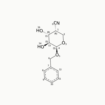 N#C[C@@H]1CO[C@@H](OCc2ccccc2)[C@@H](O)[C@@H]1O